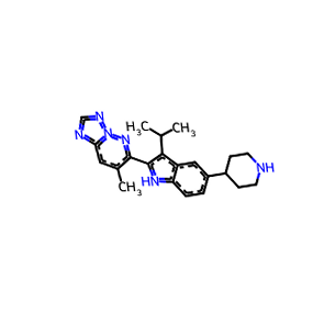 Cc1cc2ncnn2nc1-c1[nH]c2ccc(C3CCNCC3)cc2c1C(C)C